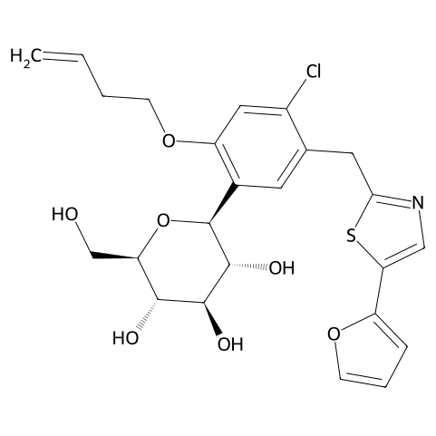 C=CCCOc1cc(Cl)c(Cc2ncc(-c3ccco3)s2)cc1[C@@H]1O[C@H](CO)[C@@H](O)[C@H](O)[C@H]1O